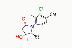 CC[C@@H]1N(c2ccc(C#N)c(Cl)c2C)C(=O)C[C@]1(C)O